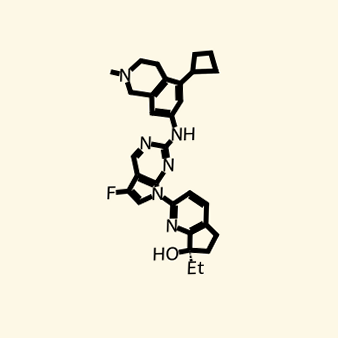 CC[C@@]1(O)CCc2ccc(-n3cc(F)c4cnc(Nc5cc6c(c(C7CCC7)c5)CCN(C)C6)nc43)nc21